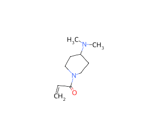 C=CC(=O)N1CCC(N(C)C)CC1